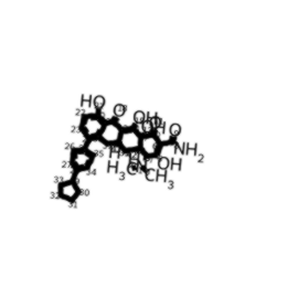 CN(C)[C@@H]1C(O)=C(C(N)=O)C(=O)[C@@]2(O)C(O)=C3C(=O)c4c(O)ccc(-c5ccc(C6CCCC6)cc5)c4C[C@@H]3C[C@@H]12